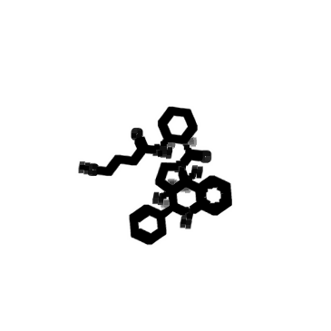 O=C(CCCO)N[C@@H]1CCCC[C@@H]1C(=O)N1CC[C@@H]2[C@H](C3C=CC=CC3)Nc3ccccc3[C@@H]21